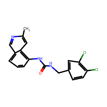 Cc1cc2c(NC(=O)NCc3ccc(Cl)c(Cl)c3)cccc2cn1